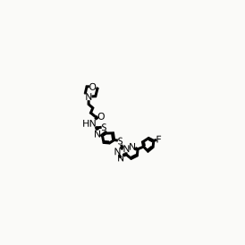 O=C(CCCN1CCOCC1)Nc1nc2ccc(Sc3nnc4ccc(-c5ccc(F)cc5)nn34)cc2s1